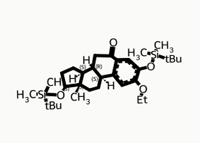 CCOc1cc2c(cc1O[Si](C)(C)C(C)(C)C)C(=O)C[C@@H]1[C@@H]2CC[C@]2(C)[C@@H](O[Si](C)(C)C(C)(C)C)CC[C@@H]12